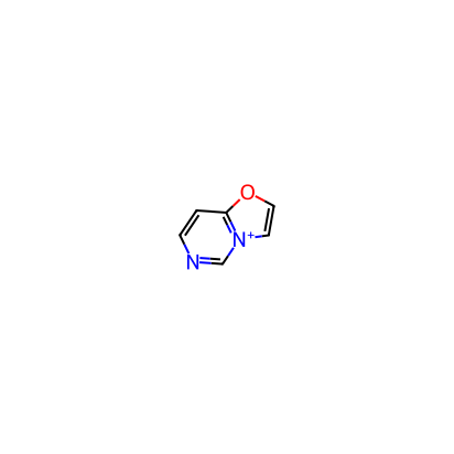 c1cc2occ[n+]2cn1